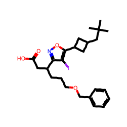 CC(C)(C)CC1CC(c2onc(C(CCCOCc3ccccc3)CC(=O)O)c2I)C1